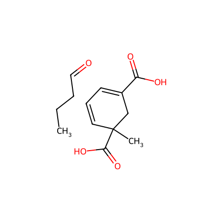 CC1(C(=O)O)C=CC=C(C(=O)O)C1.CCCC=O